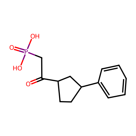 O=C(CP(=O)(O)O)C1CCC(c2ccccc2)C1